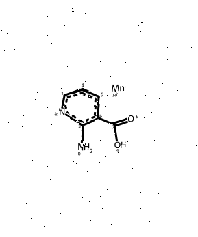 Nc1ncccc1C(=O)O.[Mn]